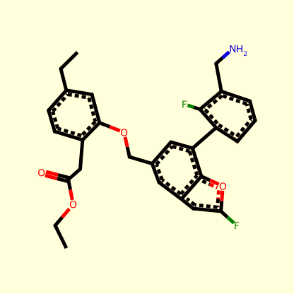 CCOC(=O)Cc1ccc(CC)cc1OCc1cc(-c2cccc(CN)c2F)c2oc(F)cc2c1